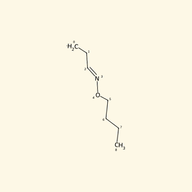 [CH2]CC=NOCCCC